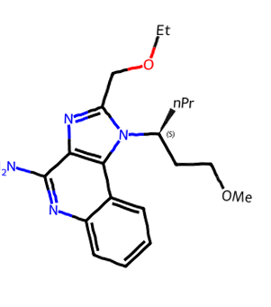 CCC[C@@H](CCOC)n1c(COCC)nc2c(N)nc3ccccc3c21